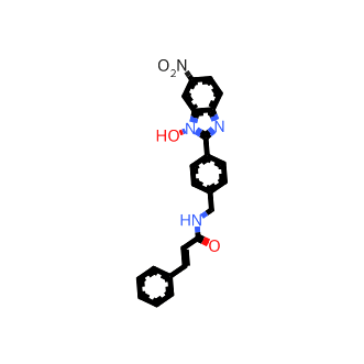 O=C(/C=C/c1ccccc1)NCc1ccc(-c2nc3ccc([N+](=O)[O-])cc3n2O)cc1